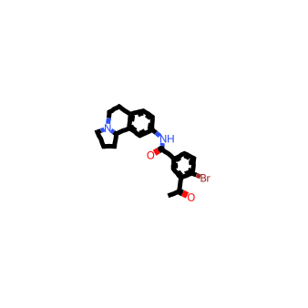 CC(=O)c1cc(C(=O)Nc2ccc3c(c2)C2CCCN2CC3)ccc1Br